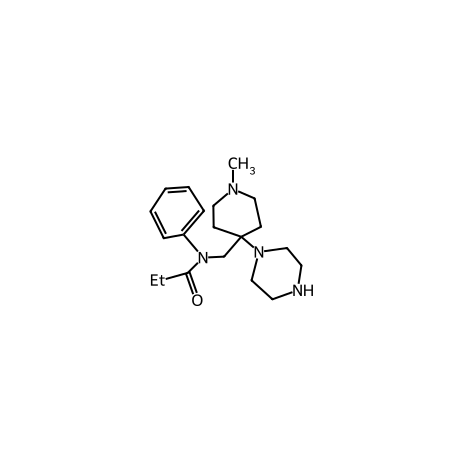 CCC(=O)N(CC1(N2CCNCC2)CCN(C)CC1)c1ccccc1